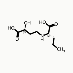 CCC[C@H](NCC[C@H](O)C(=O)O)C(=O)O